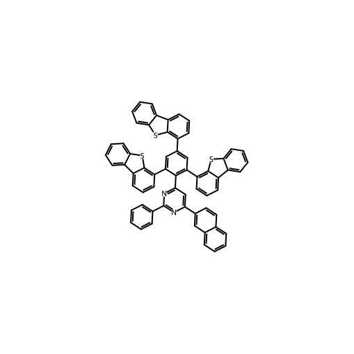 c1ccc(-c2nc(-c3ccc4ccccc4c3)cc(-c3c(-c4cccc5c4sc4ccccc45)cc(-c4cccc5c4sc4ccccc45)cc3-c3cccc4c3sc3ccccc34)n2)cc1